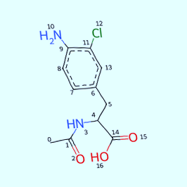 CC(=O)NC(Cc1ccc(N)c(Cl)c1)C(=O)O